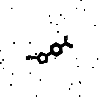 CCCC1CCC(c2ccc(C(=O)Cl)cc2)C1